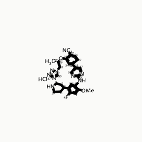 COc1cc(F)c(C2CCNCC2)cc1Nc1ncc(-c2ccc(C#N)c(O[C@@H](C)Cn3cnnn3)c2)cn1.Cl